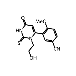 COc1ccc(C#N)cc1-c1cc(=O)[nH]c(=S)n1CCO